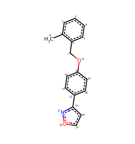 Cc1ccccc1COc1ccc(-c2ccon2)cc1